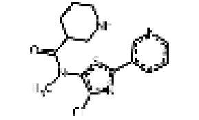 CN(C(=O)C1CCCNC1)c1sc(-c2cccnc2)nc1Cl